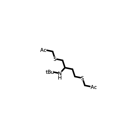 CC(=O)CSCCC(CSCC(C)=O)NC(C)(C)C